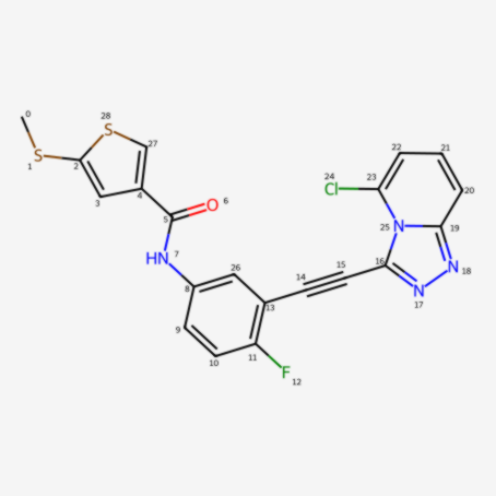 CSc1cc(C(=O)Nc2ccc(F)c(C#Cc3nnc4cccc(Cl)n34)c2)cs1